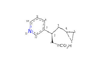 O=C(O)C[C@H](CC1CC1)c1cccnc1